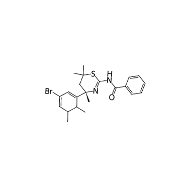 CC1C=C(Br)C=C([C@]2(C)CC(C)(C)SC(NC(=O)c3ccccc3)=N2)C1C